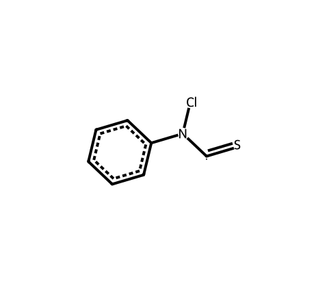 S=[C]N(Cl)c1ccccc1